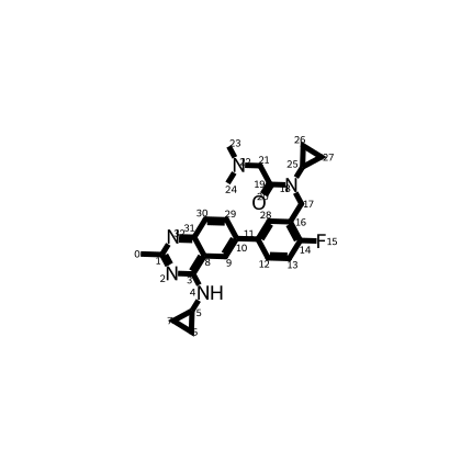 Cc1nc(NC2CC2)c2cc(-c3ccc(F)c(CN(C(=O)CN(C)C)C4CC4)c3)ccc2n1